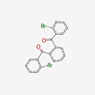 O=C(c1ccccc1Br)c1ccccc1C(=O)c1ccccc1Br